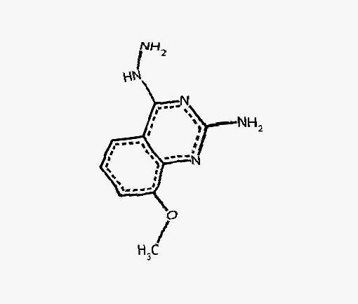 COc1cccc2c(NN)nc(N)nc12